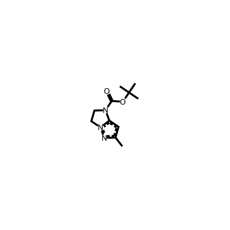 Cc1cc2n(n1)CCN2C(=O)OC(C)(C)C